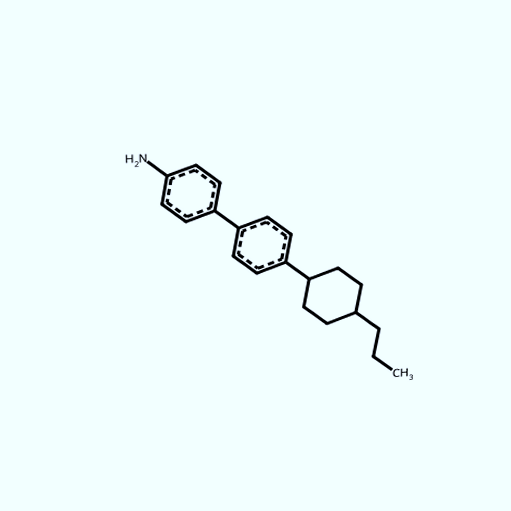 CCCC1CCC(c2ccc(-c3ccc(N)cc3)cc2)CC1